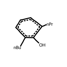 CCCCc1cccc(CCC)c1O